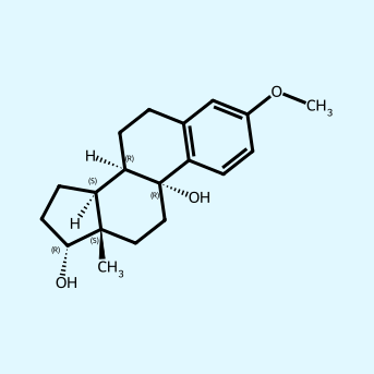 COc1ccc2c(c1)CC[C@@H]1[C@@H]3CC[C@@H](O)[C@@]3(C)CC[C@]21O